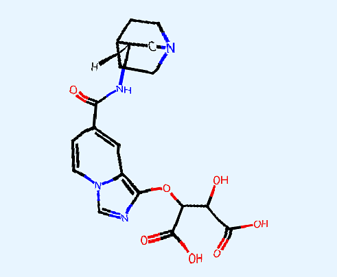 O=C(N[C@H]1CN2CCC1CC2)c1ccn2cnc(OC(C(=O)O)C(O)C(=O)O)c2c1